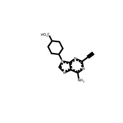 C#Cc1nc(N)c2ncn(C3CCC(C(=O)O)CC3)c2n1